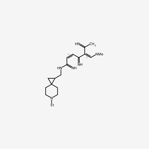 CCN1CCC2(CC1)CC2CNC(=N)/C=C\C(=N)/C(=C/NC)C(C)=N